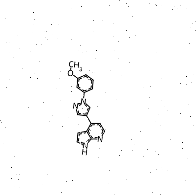 COc1cccc(-n2cc(-c3ccnc4[nH]ccc34)cn2)c1